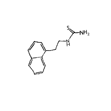 NC(=S)NCCc1cccc2ccccc12